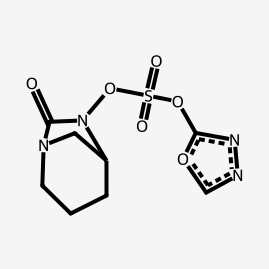 O=C1N2CCCC(C2)N1OS(=O)(=O)Oc1nnco1